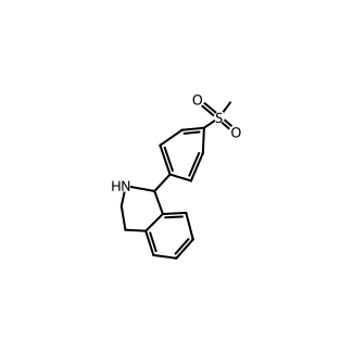 CS(=O)(=O)c1ccc(C2NCCc3ccccc32)cc1